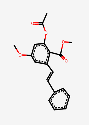 COC(=O)c1c(/C=C/c2ccccc2)cc(OC)cc1OC(C)=O